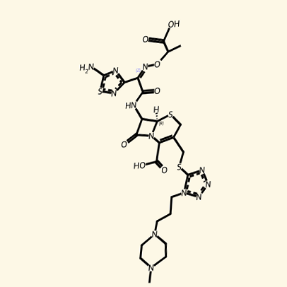 CC(O/N=C(\C(=O)NC1C(=O)N2C(C(=O)O)=C(CSc3nnnn3CCCN3CCN(C)CC3)CS[C@H]12)c1nsc(N)n1)C(=O)O